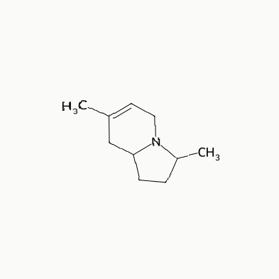 CC1=CCN2C(C)CCC2C1